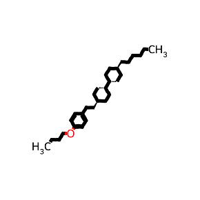 CCCCCC[C@H]1CC[C@H]([C@H]2CC[C@H](CCc3ccc(OCCCC)cc3)CC2)CC1